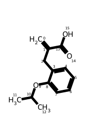 C=C(Cc1ccccc1OC(C)C)C(=O)O